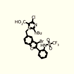 CCCCc1nc(Cl)c(C(=O)O)n1Cc1ccc2oc(-c3ccccc3NS(=O)(=O)C(F)(F)F)c(Br)c2c1